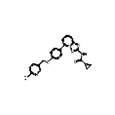 O=C(Nc1nc2cccc(-c3ccc(OCc4ccc(Cl)nc4)cc3)n2n1)C1CC1